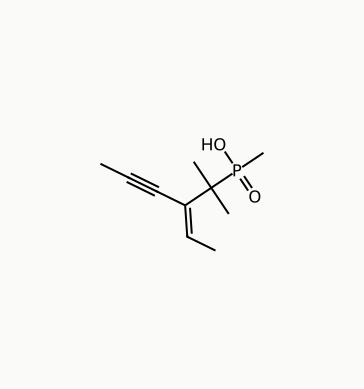 CC#CC(=CC)C(C)(C)P(C)(=O)O